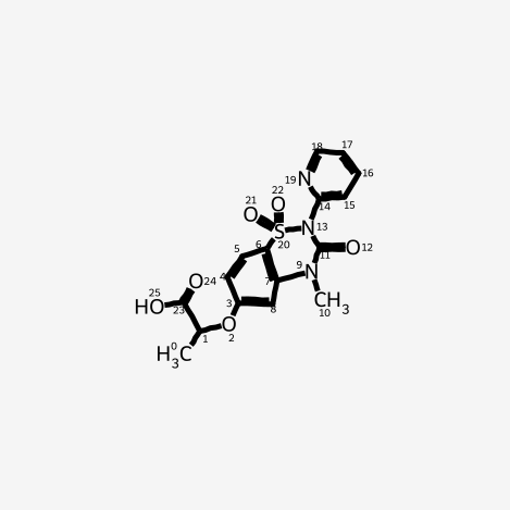 CC(Oc1ccc2c(c1)N(C)C(=O)N(c1ccccn1)S2(=O)=O)C(=O)O